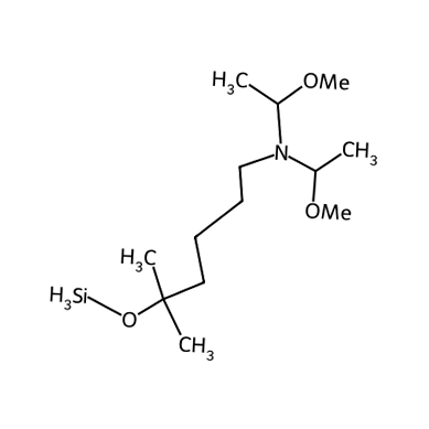 COC(C)N(CCCCC(C)(C)O[SiH3])C(C)OC